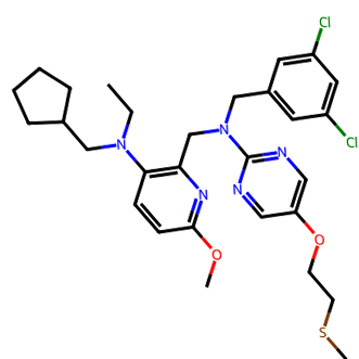 CCN(CC1CCCC1)c1ccc(OC)nc1CN(Cc1cc(Cl)cc(Cl)c1)c1ncc(OCCSC)cn1